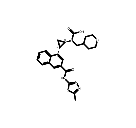 Cc1nnc(NC(=O)c2cc([C@@H]3C[C@H]3N(CC3CCOCC3)C(=O)O)c3ccccc3c2)s1